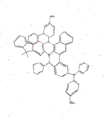 CCCCc1ccc(N(c2ccccc2)c2ccc3c(c2)-c2cc4ccccc4c4c2B(c2cc5c(cc2N4c2ccc(CCCC)cc2-c2ccccc2)-c2ccccc2C5(C)C)N3c2ccccc2)cc1